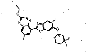 CCOc1cnc2c(-c3nc4cc(F)c(O[C@H]5[CH]CCC(F)(F)C5)cc4s3)cc(C)cc2n1